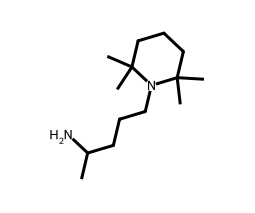 CC(N)CCCN1C(C)(C)CCCC1(C)C